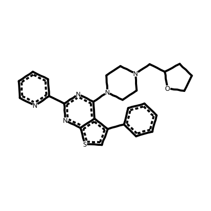 c1ccc(-c2csc3nc(-c4ccccn4)nc(N4CCN(CC5CCCO5)CC4)c23)cc1